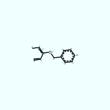 C=C/C(=C\C)OCc1ccccc1